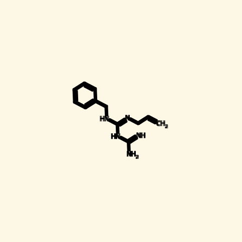 C=CCN=C(NCc1ccccc1)NC(=N)N